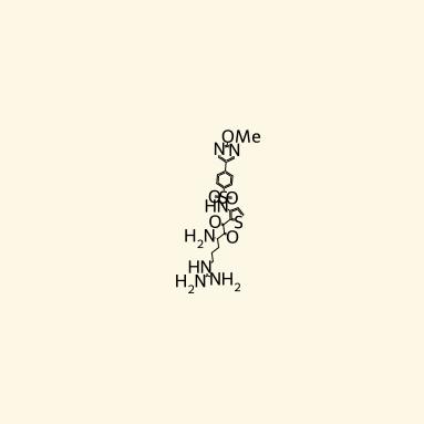 COc1ncc(-c2ccc(S(=O)(=O)Nc3ccsc3C(=O)C(=O)[C@@H](N)CCCNC(N)N)cc2)cn1